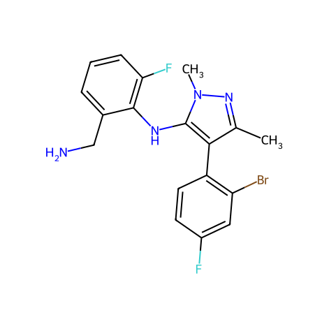 Cc1nn(C)c(Nc2c(F)cccc2CN)c1-c1ccc(F)cc1Br